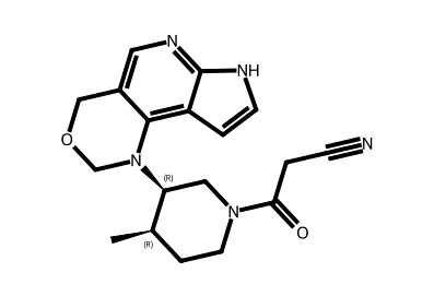 C[C@@H]1CCN(C(=O)CC#N)C[C@@H]1N1COCc2cnc3[nH]ccc3c21